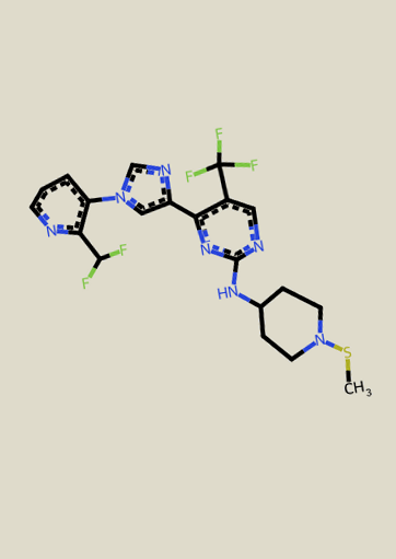 CSN1CCC(Nc2ncc(C(F)(F)F)c(-c3cn(-c4cccnc4C(F)F)cn3)n2)CC1